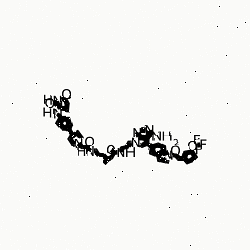 CC(CCCNC(=O)CN1CCC(c2ccc(NC3CCC(=O)NC3=O)cc2)CC1)CC(=O)NCCCn1cc(-c2ccc3c(c2)CCN3C(=O)Cc2cccc(OC(F)(F)F)c2)c2c(N)ncnc21